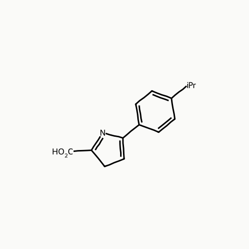 CC(C)c1ccc(C2=CCC(C(=O)O)=N2)cc1